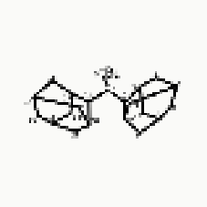 CC(C)(C)P(C1C2CC3CC(C2)CC1C3)C1C2CC3CC(C2)CC1C3